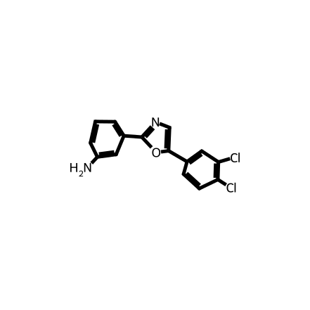 Nc1cccc(-c2ncc(-c3ccc(Cl)c(Cl)c3)o2)c1